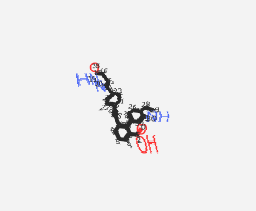 O=C(O)c1cccc(C#Cc2ccc(-c3ccc(=O)[nH]n3)cc2)c1-c1ccc2cc[nH]c2c1